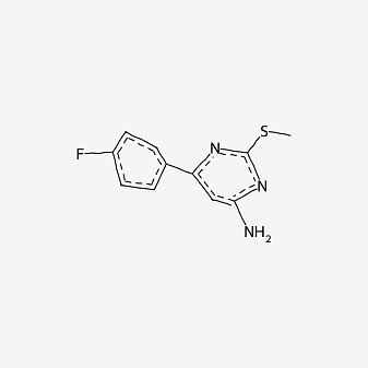 CSc1nc(N)cc(-c2ccc(F)cc2)n1